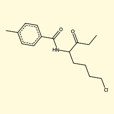 CCC(=O)C(CCCCCl)NC(=O)c1ccc(C)cc1